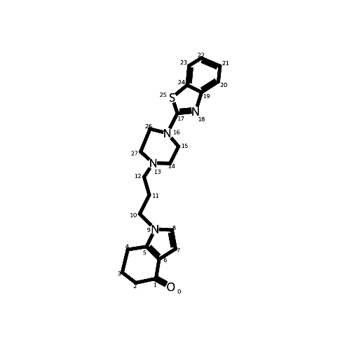 O=C1CCCc2c1ccn2CCCN1CCN(c2nc3ccccc3s2)CC1